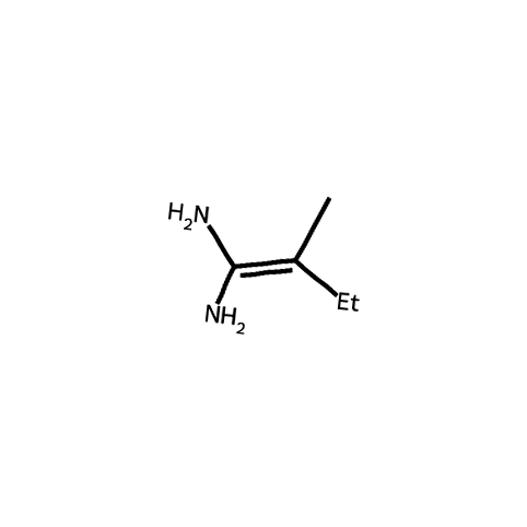 CCC(C)=C(N)N